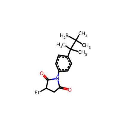 BC(C)(C)C(C)(C)c1ccc(N2C(=O)CC(CC)C2=O)cc1